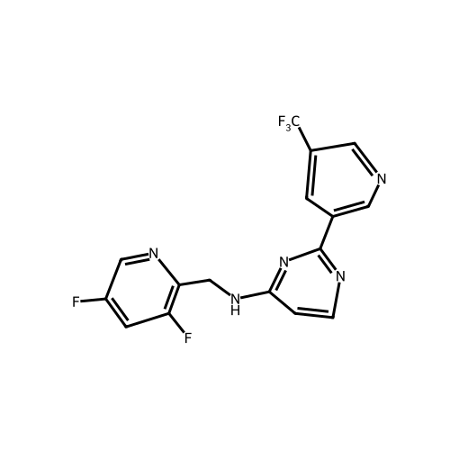 Fc1cnc(CNc2ccnc(-c3cncc(C(F)(F)F)c3)n2)c(F)c1